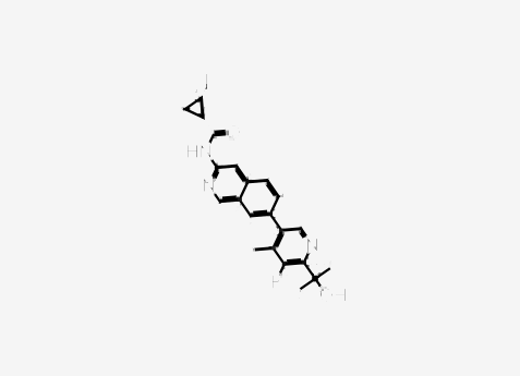 Cc1c(-c2ccc3cc(NC(=O)[C@@H]4C[C@@H]4F)ncc3c2)cnc(C(C)(C)O)c1F